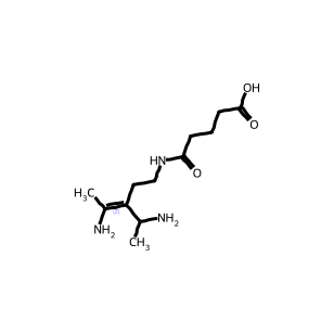 C/C(N)=C(\CCNC(=O)CCCC(=O)O)C(C)N